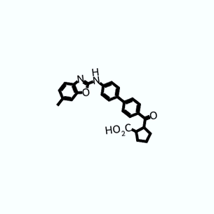 Cc1ccc2nc(Nc3ccc(-c4ccc(C(=O)C5CCCC5C(=O)O)cc4)cc3)oc2c1